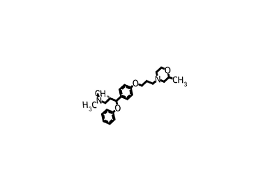 CC1CN(CCCOc2ccc(C(CCN(C)C)Oc3ccccc3)cc2)CCO1